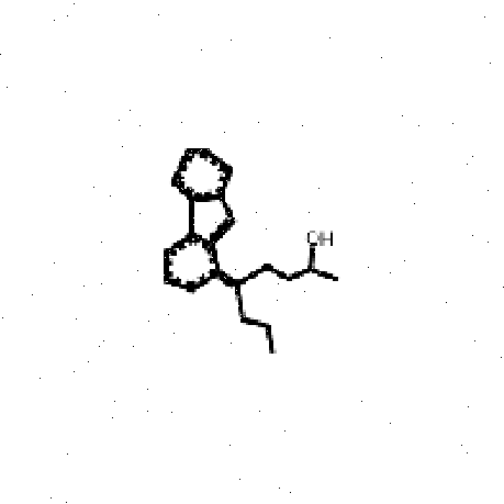 CCCC(CCC(C)O)=c1cccc2c1=Cc1ccccc1-2